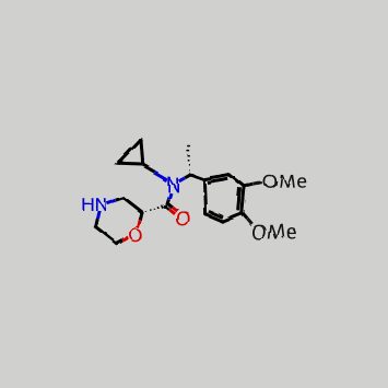 COc1ccc([C@@H](C)N(C(=O)[C@H]2CNCCO2)C2CC2)cc1OC